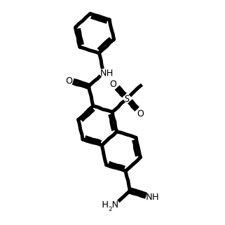 CS(=O)(=O)c1c(C(=O)Nc2ccccc2)ccc2cc(C(=N)N)ccc12